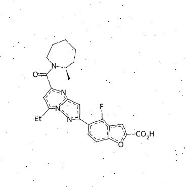 CCc1cc(C(=O)N2CCCCC[C@H]2C)nc2cc(-c3ccc4oc(C(=O)O)cc4c3F)nn12